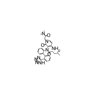 CC(C)CCC(=O)N(c1ccccc1-c1ccccc1-c1nnn[nH]1)c1c(N)ccn(CC(=O)N(C)C)c1=O